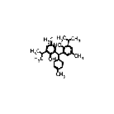 CC1=CCC(C(c2cc(C)cc(C(C)C)c2O)c2cc(C)cc(C(C)C)c2O)CC1